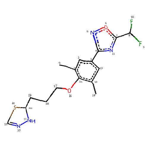 Cc1cc(-c2noc(C(F)F)n2)cc(C)c1OCCCC1NN=CS1